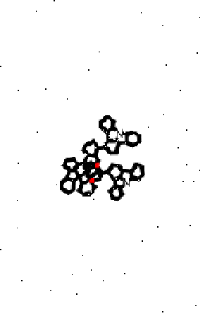 c1ccc(C2(c3ccccc3)c3ccccc3-c3cccc(-c4c5cccc(-c6ccc7c8ccccc8n8c9ccccc9c6c78)c5cc5c(-c6ccc7c8ccccc8n8c9ccccc9c6c78)cccc45)c32)cc1